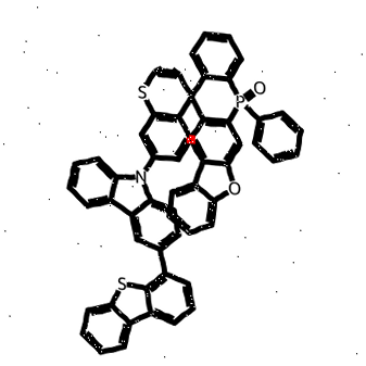 O=P1(c2ccccc2)c2ccccc2C2(c3ccccc3Sc3cc(-n4c5ccccc5c5cc(-c6cccc7c6sc6ccccc67)ccc54)ccc32)c2cc3c(cc21)oc1ccccc13